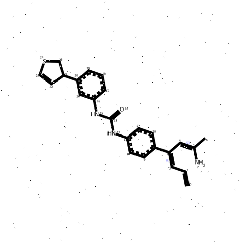 C=C/C=C(\C=C(\C)N)c1ccc(NC(=O)Nc2cccc(C3C=CSC3)c2)cc1